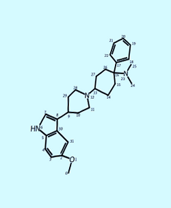 COc1ccc2[nH]cc(C3CCN(C4CCC(c5ccccc5)(N(C)C)CC4)CC3)c2c1